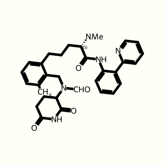 CN[C@@H](CCCc1cccc(C)c1CN(C=O)C1CCC(=O)NC1=O)C(=O)Nc1ccccc1-c1ccccn1